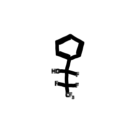 OC(F)(c1ccccc1)C(F)(F)C(F)(F)F